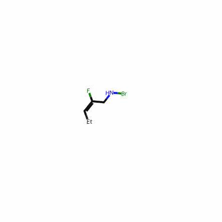 CC/C=C(/F)CNBr